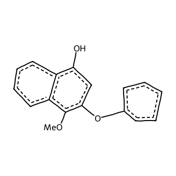 COc1c(Oc2ccccc2)cc(O)c2ccccc12